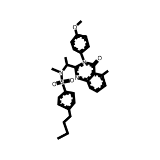 CCCCc1ccc(S(=O)(=O)N(C)C(C)c2nc3cccc(C)c3c(=O)n2-c2ccc(OC)cc2)cc1